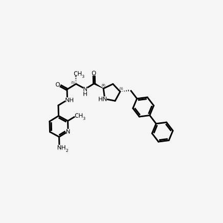 Cc1nc(N)ccc1CNC(=O)[C@H](C)NC(=O)[C@H]1C[C@H](Cc2ccc(-c3ccccc3)cc2)CN1